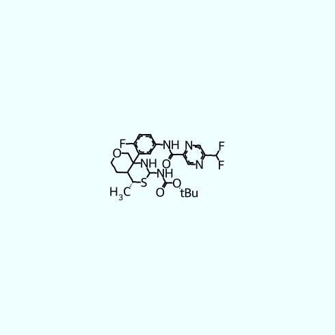 C[C@H]1SC(NC(=O)OC(C)(C)C)NC2(c3cc(NC(=O)c4cnc(C(F)F)cn4)ccc3F)COCCC12